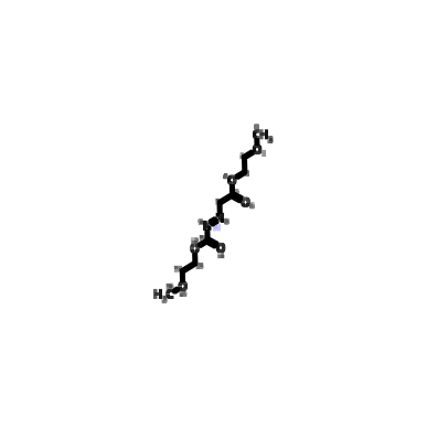 COCCOC(=O)C/N=N/C(=O)OCCOC